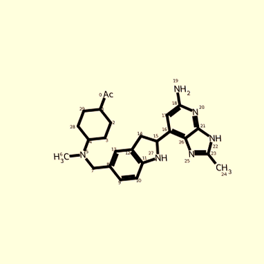 CC(=O)C1CCC(N(C)Cc2ccc3c(c2)CC(c2cc(N)nc4[nH]c(C)nc24)N3)CC1